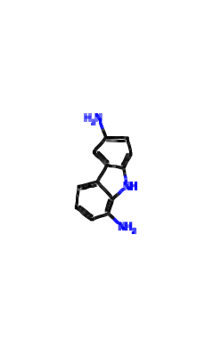 Nc1ccc2[nH]c3c(N)cccc3c2c1